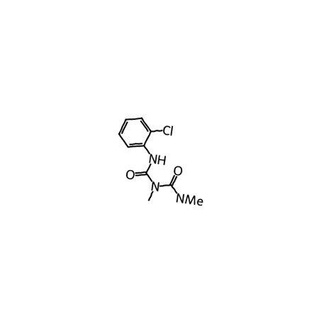 CNC(=O)N(C)C(=O)Nc1ccccc1Cl